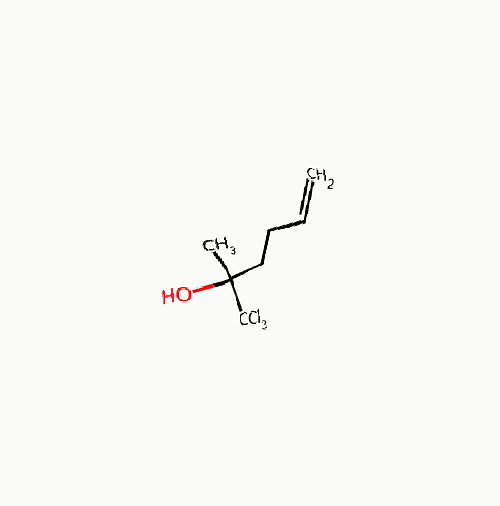 C=CCCC(C)(O)C(Cl)(Cl)Cl